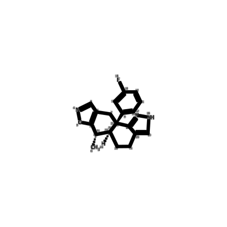 C[C@@H]1c2oncc2C[C@]2(c3cccc(F)c3)c3n[nH]cc3CC[C@@H]12